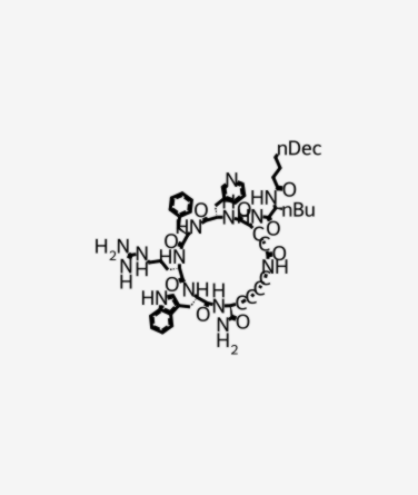 CCCCCCCCCCCCCC(=O)N[C@@H](CCCC)C(=O)N[C@H]1CCC(=O)NCCCC[C@@H](C(N)=O)NC(=O)[C@H](Cc2c[nH]c3ccccc23)NC(=O)[C@H](CCCNC(=N)N)NC(=O)[C@@H](Cc2ccccc2)NC(=O)[C@H](Cc2cccnc2)NC1=O